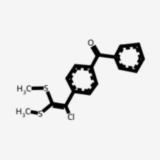 CSC(SC)=C(Cl)c1ccc(C(=O)c2ccccc2)cc1